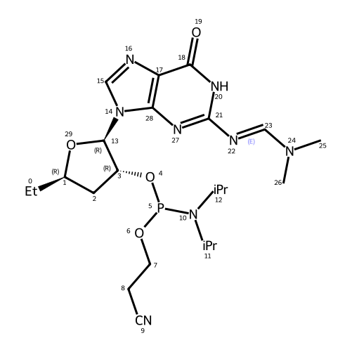 CC[C@@H]1C[C@@H](OP(OCCC#N)N(C(C)C)C(C)C)[C@H](n2cnc3c(=O)[nH]c(/N=C/N(C)C)nc32)O1